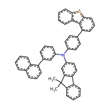 CC1(C)c2ccccc2-c2ccc(N(c3ccc(-c4cccc5sc6ccccc6c45)cc3)c3cccc(-c4cccc5ccccc45)c3)cc21